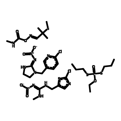 CCCSP(=O)(OCC)SCCC.CN/C(=N\[N+](=O)[O-])NCc1cnc(Cl)s1.CNC(=O)O/N=C/C(C)(C)SC.O=[N+]([O-])/N=C1\NCCN1Cc1ccc(Cl)nc1